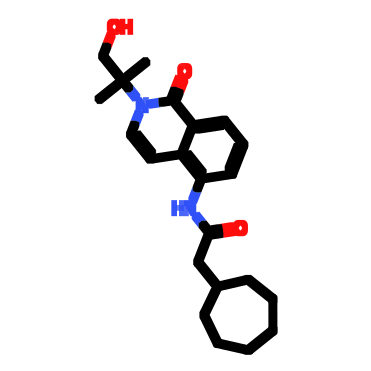 CC(C)(CO)n1ccc2c(NC(=O)CC3CCCCCC3)cccc2c1=O